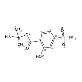 CC(C)(C)OC(=O)c1ccc(S(N)(=O)=O)cc1O